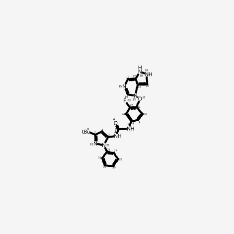 CC(C)(C)c1cc(NC(=O)Nc2ccc(ON3C=NC=C4NNC=C43)c(F)c2)n(-c2ccccc2)n1